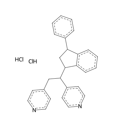 Cl.Cl.c1ccc(C2CC(C(Cc3ccncc3)c3ccncc3)c3ccccc32)cc1